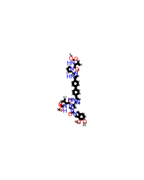 C=C(C)[C@H](NC(=O)OC)C(=O)N1CCC[C@H]1c1ncc(-c2ccc(-c3ccc(-c4cnc([C@@H]5CN(C(=O)N6Cc7ccc(OC)c(OC)c7C6)CN5C(=O)[C@@H](NC(=O)OC)C(C)C)[nH]4)cc3)cc2)[nH]1